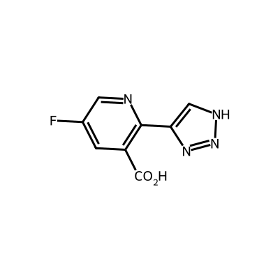 O=C(O)c1cc(F)cnc1-c1c[nH]nn1